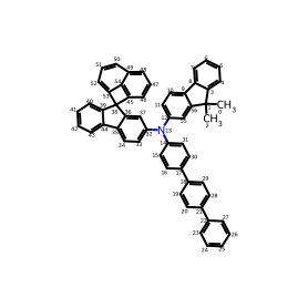 CC1(C)c2ccccc2-c2ccc(N(c3ccc(-c4ccc(-c5ccccc5)cc4)cc3)c3ccc4c(c3)C3(c5ccccc5-4)c4cccc5cccc3c45)cc21